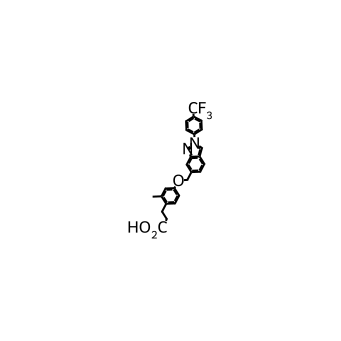 Cc1cc(OCc2ccc3cn(-c4ccc(C(F)(F)F)cc4)nc3c2)ccc1CCC(=O)O